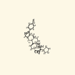 C[C@]12Cc3cnn(-c4ccc(F)cc4)c3C=C1CC[C@H]1C2=CC[C@@H](C(F)(F)F)[C@@H]1NC(=O)C1CCCC1